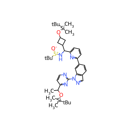 CC(O[Si](C)(C)C(C)(C)C)c1ccnc(-n2ncc3ccc(-c4cccc([C@@H](N[S+]([O-])C(C)(C)C)C5CC(O[Si](C)(C)C(C)(C)C)C5)n4)cc32)n1